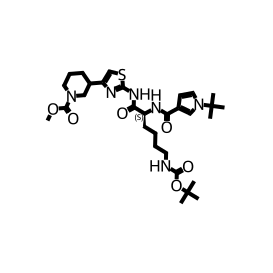 COC(=O)N1CCCC(c2csc(NC(=O)[C@H](CCCCNC(=O)OC(C)(C)C)NC(=O)c3ccn(C(C)(C)C)c3)n2)C1